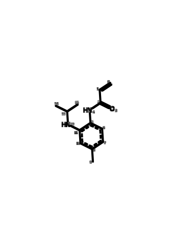 C=CC(=O)Nc1ccc(C)cc1NC(C)C